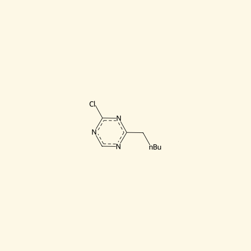 CCCCCc1ncnc(Cl)n1